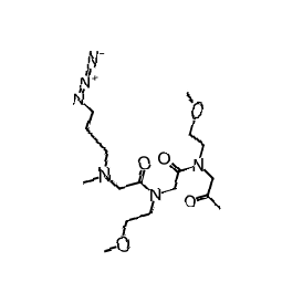 COCCN(CC(C)=O)C(=O)CN(CCOC)C(=O)CN(C)CCCN=[N+]=[N-]